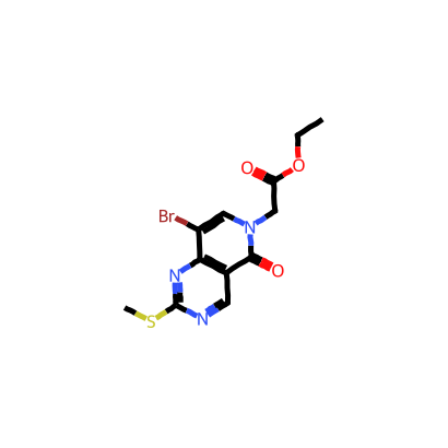 CCOC(=O)Cn1cc(Br)c2nc(SC)ncc2c1=O